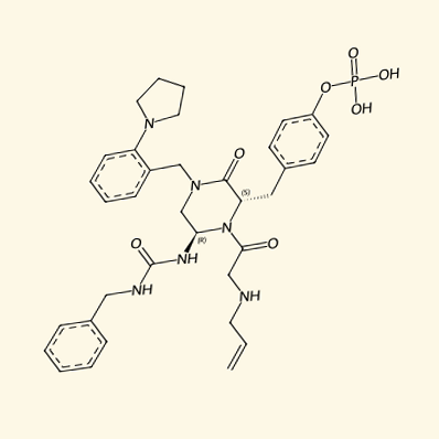 C=CCNCC(=O)N1[C@@H](NC(=O)NCc2ccccc2)CN(Cc2ccccc2N2CCCC2)C(=O)[C@@H]1Cc1ccc(OP(=O)(O)O)cc1